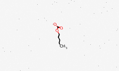 CCCCCOC([O])=O